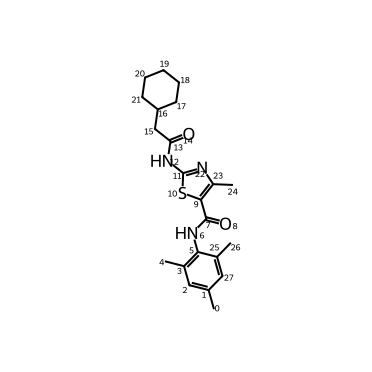 Cc1cc(C)c(NC(=O)c2sc(NC(=O)CC3CCCCC3)nc2C)c(C)c1